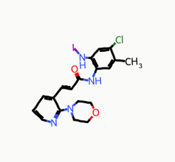 Cc1cc(NC(=O)/C=C/c2cccnc2N2CCOCC2)c(NI)cc1Cl